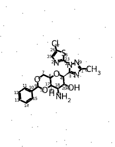 Cc1nc([C@@H]2OC3COC(c4ccccc4)O[C@@H]3C(N)C2O)n(-c2ncc(Cl)s2)n1